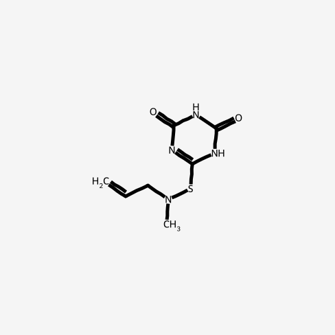 C=CCN(C)Sc1nc(=O)[nH]c(=O)[nH]1